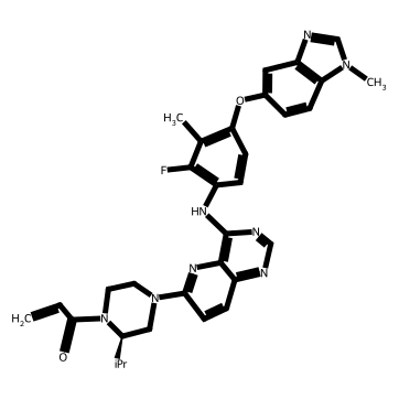 C=CC(=O)N1CCN(c2ccc3ncnc(Nc4ccc(Oc5ccc6c(c5)ncn6C)c(C)c4F)c3n2)C[C@H]1C(C)C